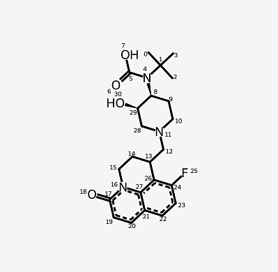 CC(C)(C)N(C(=O)O)[C@H]1CCN(CC2CCn3c(=O)ccc4ccc(F)c2c43)C[C@H]1O